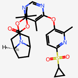 Cc1nc(S(=O)(=O)C2CC2)ccc1Oc1ncnc(OC2CC3CC[C@@H](C2)N3C(=O)OC(C)(C)C)c1C